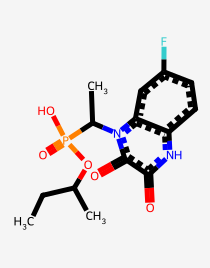 CCC(C)OP(=O)(O)C(C)n1c(=O)c(=O)[nH]c2ccc(F)cc21